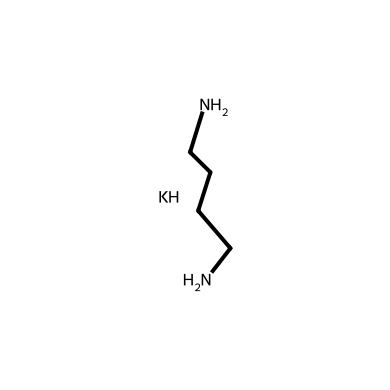 NCCCCN.[KH]